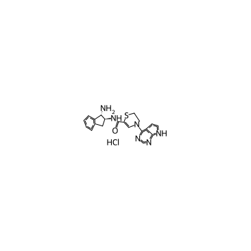 Cl.N[C@H]1c2ccccc2C[C@@H]1NC(=O)C1=CN(c2ncnc3[nH]ccc23)CCS1